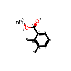 CCCOC(=O)c1cccc(C)c1C